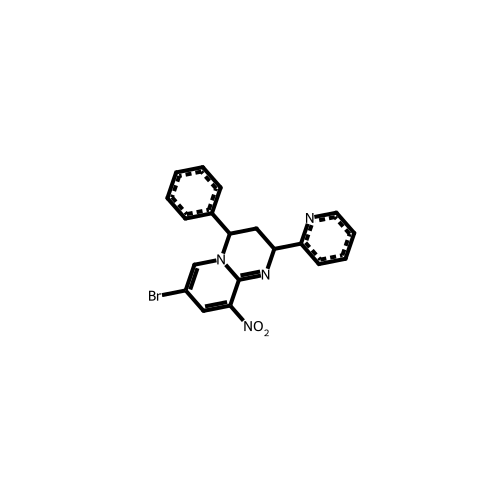 O=[N+]([O-])C1=CC(Br)=CN2C1=NC(c1ccccn1)CC2c1ccccc1